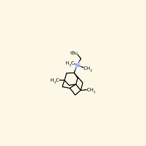 CC(C)(C)C[N+](C)(C)C12CC3(C)CC4CC(C)(C1)C4(C3)C2